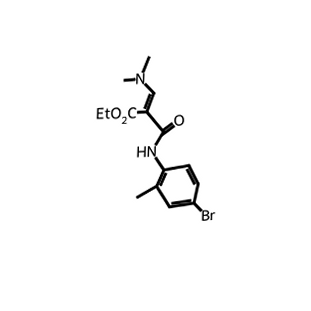 CCOC(=O)/C(=C\N(C)C)C(=O)Nc1ccc(Br)cc1C